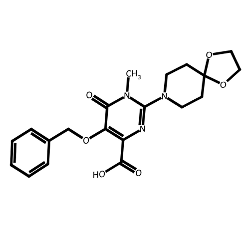 Cn1c(N2CCC3(CC2)OCCO3)nc(C(=O)O)c(OCc2ccccc2)c1=O